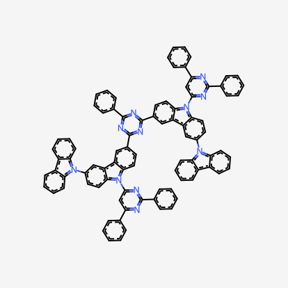 c1ccc(-c2cc(-n3c4ccc(-c5nc(-c6ccccc6)nc(-c6ccc7c(c6)c6cc(-n8c9ccccc9c9ccccc98)ccc6n7-c6cc(-c7ccccc7)nc(-c7ccccc7)n6)n5)cc4c4cc(-n5c6ccccc6c6ccccc65)ccc43)nc(-c3ccccc3)n2)cc1